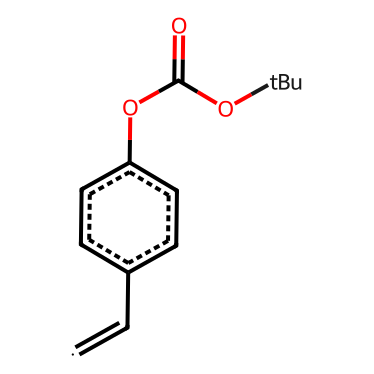 [CH]=Cc1ccc(OC(=O)OC(C)(C)C)cc1